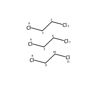 ClCCCl.ClCCCl.ClCCCl